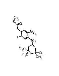 COC(=O)Cc1cc(N)c(NC2CC(C)(C)CC(C)(C)C2)cc1F